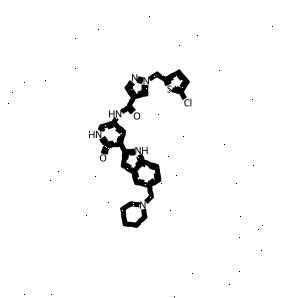 O=C(Nc1c[nH]c(=O)c(-c2cc3cc(CN4CCCCC4)ccc3[nH]2)c1)c1cnn(Cc2ccc(Cl)s2)c1